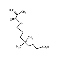 C=C(C)C(=O)NCCC[N+](C)(C)CCCS(=O)(=O)O